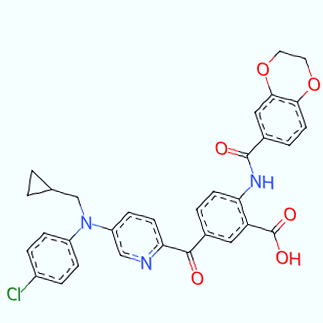 O=C(Nc1ccc(C(=O)c2ccc(N(CC3CC3)c3ccc(Cl)cc3)cn2)cc1C(=O)O)c1ccc2c(c1)OCCO2